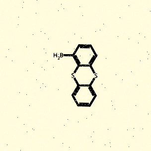 Bc1cccc2c1Sc1ccccc1S2